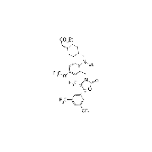 CCOC(=O)C[C@H]1CC[C@H](CN(CC)c2ccc(OC(F)(F)F)cc2CN2C(=O)O[C@H](c3cc(C(F)(F)F)cc(C(F)(F)F)c3)[C@@H]2C)CC1